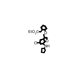 CCOC(=O)Cc1ccccc1OCc1coc2c(NC3CCCC3)cc(Cl)cc12